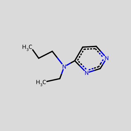 CCCN(CC)c1ccncn1